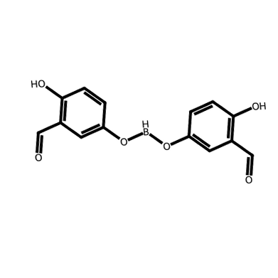 O=Cc1cc(OBOc2ccc(O)c(C=O)c2)ccc1O